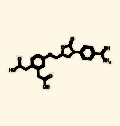 N=C(N)c1ccc(N2CC(COc3ccc(CC(=O)O)c(CC(=O)O)c3)OC2=O)cc1